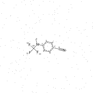 CN(c1ccc(C#N)cc1)C(F)(F)F